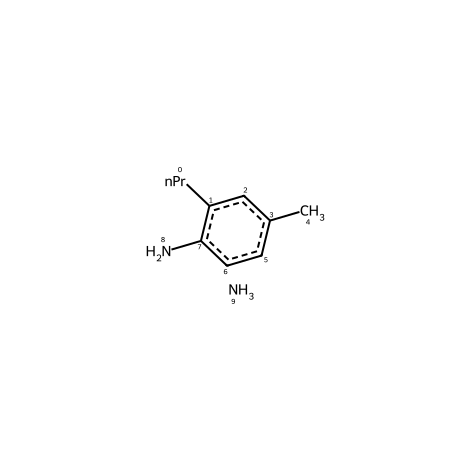 CCCc1cc(C)ccc1N.N